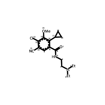 CCN(CC)CCNC(=O)c1cc(C#N)c(Cl)c(OC)c1C1CC1